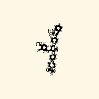 Cc1cc(CC(CC(=O)N2CCC(N3Cc4ccccc4NC3=O)CC2)C(=O)N2CCC(N3CCN(S(C)(=O)=O)CC3)CC2)ccc1Cl